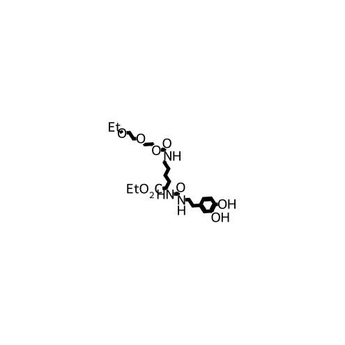 CCOCCOCCOC(=O)NCCCCC(NC(=O)NCCc1ccc(O)c(O)c1)C(=O)OCC